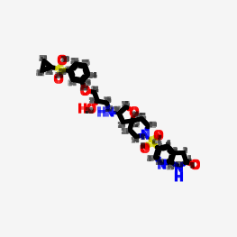 O=C1Cc2cc(S(=O)(=O)N3CCC4(CC3)C[C@@H](NCC(O)COc3cccc(S(=O)(=O)C5CC5)c3)CO4)cnc2N1